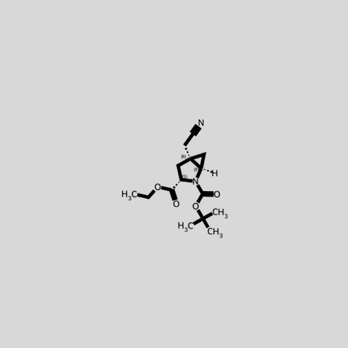 CCOC(=O)[C@@H]1C[C@@]2(CC#N)C[C@H]2N1C(=O)OC(C)(C)C